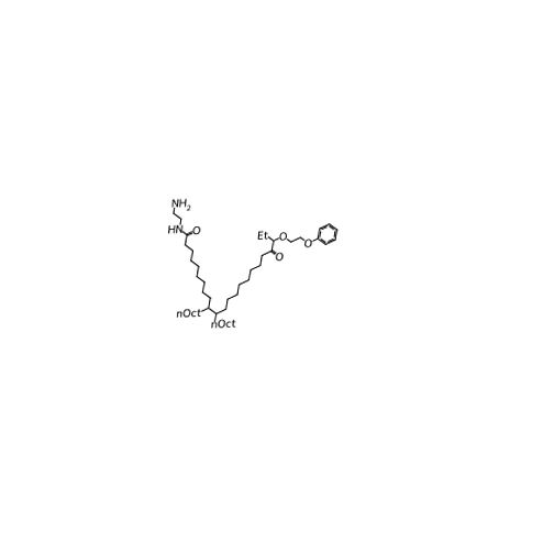 CCCCCCCCC(CCCCCCCCC(=O)NCCN)C(CCCCCCCC)CCCCCCCCC(=O)C(CC)OCCOc1ccccc1